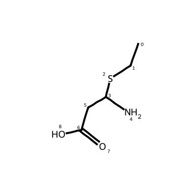 CCSC(N)CC(=O)O